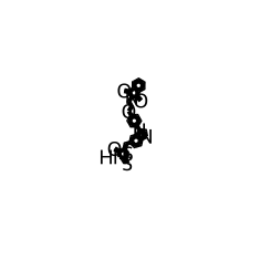 O=C1NC(=S)S/C1=C\c1ccc2ncn(-c3ccc(OCCN4C(=O)c5ccccc5C4=O)cc3)c2c1